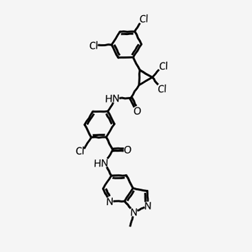 Cn1ncc2cc(NC(=O)c3cc(NC(=O)C4C(c5cc(Cl)cc(Cl)c5)C4(Cl)Cl)ccc3Cl)cnc21